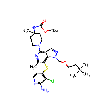 Cc1nc(N2CCC(C)(NC(=O)OC(C)(C)C)CC2)c2cnn(COCC[Si](C)(C)C)c2c1Sc1ccnc(N)c1Cl